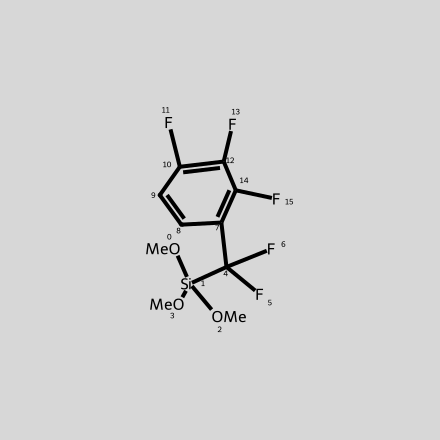 CO[Si](OC)(OC)C(F)(F)c1ccc(F)c(F)c1F